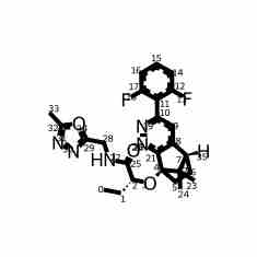 CC[C@@H](O[C@@]12CC[C@@H](c3cc(-c4c(F)cccc4F)nnc31)C2(C)C)C(=O)NCc1nnc(C)o1